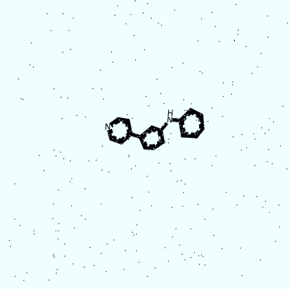 [c]1ccc(-c2ccncc2)cc1Nc1ccccc1